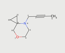 CC#CCN1CCOCC12CC2